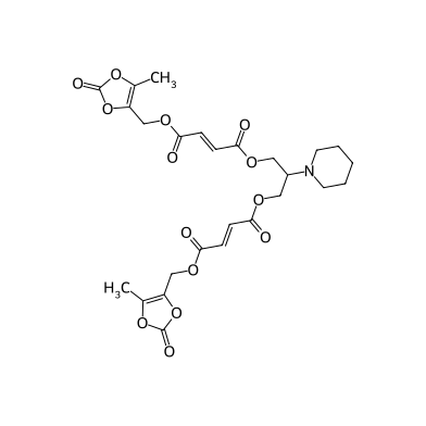 Cc1oc(=O)oc1COC(=O)/C=C/C(=O)OCC(COC(=O)/C=C/C(=O)OCc1oc(=O)oc1C)N1CCCCC1